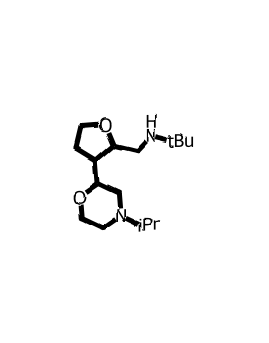 CC(C)N1CCOC(C2CCOC2CNC(C)(C)C)C1